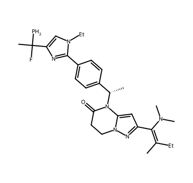 CC/C(C)=C(/c1cc2n(n1)CCC(=O)N2[C@@H](C)c1ccc(-c2nc(C(C)(F)P)cn2CC)cc1)N(C)C